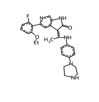 CCOc1cccc(F)c1-c1cc2c(cn1)NC(=O)/C2=C(/C)Nc1ccc(N2CCNCC2)cc1